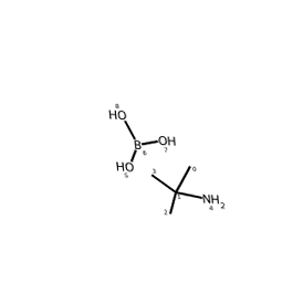 CC(C)(C)N.OB(O)O